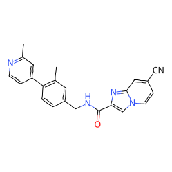 Cc1cc(-c2ccc(CNC(=O)c3cn4ccc(C#N)cc4n3)cc2C)ccn1